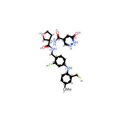 COc1ccc(Nc2ccc(CNC(=O)[C@]3(NC(=O)c4cn[nH]c(=O)c4)CCOC3)c(F)c2)c(CF)c1